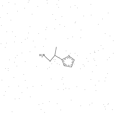 CC(CN)c1cccs1